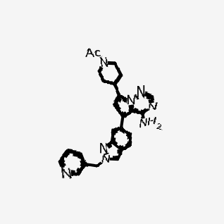 CC(=O)N1CCC(c2cc(-c3ccc4cn(Cc5cccnc5)nc4c3)c3c(N)ncnn23)CC1